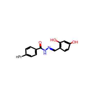 CCCc1ccc(C(=O)N/N=C/c2ccc(O)cc2O)cc1